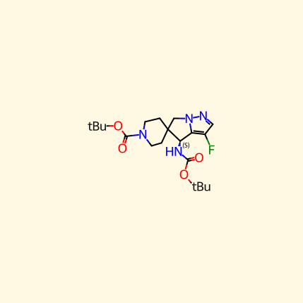 CC(C)(C)OC(=O)N[C@@H]1c2c(F)cnn2CC12CCN(C(=O)OC(C)(C)C)CC2